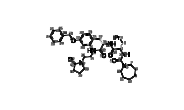 CC(C)C[C@H](NC(=O)N1CCCCCC1)C(=O)N[C@@H](Cc1ccc(OCc2ccccc2)cc1)C(=O)NCCN1CCCC1=O